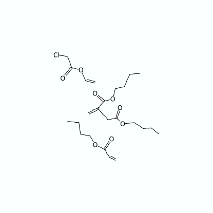 C=C(CC(=O)OCCCC)C(=O)OCCCC.C=CC(=O)OCCCC.C=COC(=O)CCl